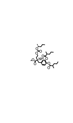 CCCC(C)C(=O)Oc1ccc(C[C@](N)(CCOC(=O)O[C@@H](C)CCC)C(=O)OC)cc1OC(=O)C(C)CCC